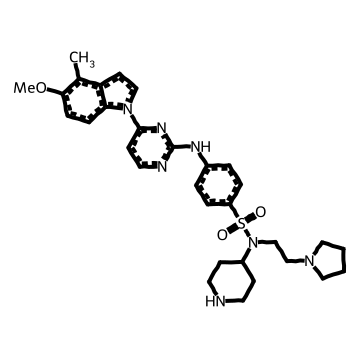 COc1ccc2c(ccn2-c2ccnc(Nc3ccc(S(=O)(=O)N(CCN4CCCC4)C4CCNCC4)cc3)n2)c1C